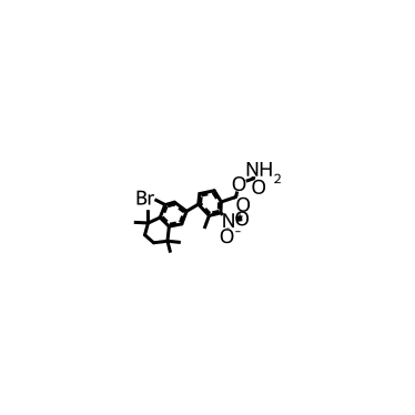 Cc1c(-c2cc(Br)c3c(c2)C(C)(C)CCC3(C)C)ccc(C(=O)OC(N)=O)c1[N+](=O)[O-]